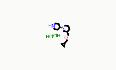 C1CC(COCC2CC2)CN(C2CCNCC2)C1.Cl.Cl